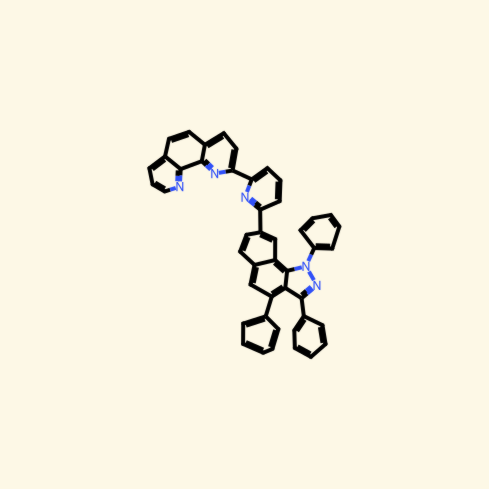 c1ccc(-c2cc3ccc(-c4cccc(-c5ccc6ccc7cccnc7c6n5)n4)cc3c3c2c(-c2ccccc2)nn3-c2ccccc2)cc1